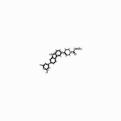 Cc1cc(-c2ccc3c(c2)[nH]c2ccc(C4=CCN(C(=O)OC(C)(C)C)CC4)cc23)cc(C)n1